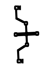 N#CCOS(=O)(=O)OCC#N